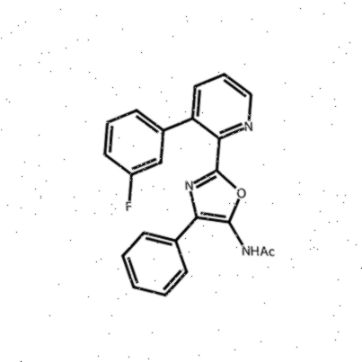 CC(=O)Nc1oc(-c2ncccc2-c2cccc(F)c2)nc1-c1ccccc1